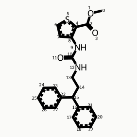 COC(=O)c1sccc1NC(=O)NCCC(c1ccccc1)c1ccccc1